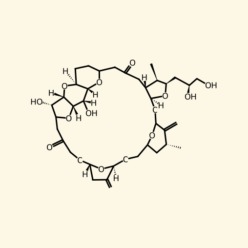 C=C1C2C[C@@H]3O[C@H](C[C@H](O)CO)[C@H](C)[C@H]3CC(=O)CC3CC[C@@H]4O[C@@H]5[C@@H](OC(CC(=O)CC[C@H]6CC(=C)[C@H](CCC(C[C@H]1C)O2)O6)[C@@H]5O)[C@@H](O)[C@H]4O3